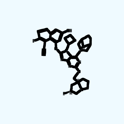 C#Cc1c(F)ccc2cc(O)cc(Oc3nc4nc(OC[C@@]56CCCN5C[C@H](F)C6)nc(N5CC6CCC(C5)N6C)c4n3C3CCC3)c12